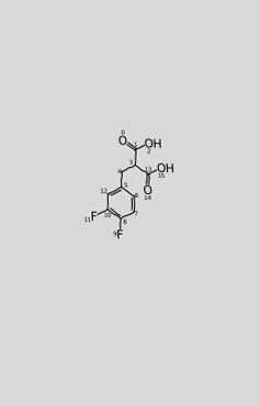 O=C(O)C(Cc1ccc(F)c(F)c1)C(=O)O